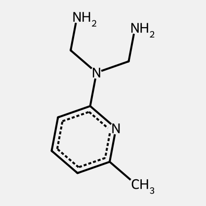 Cc1cccc(N(CN)CN)n1